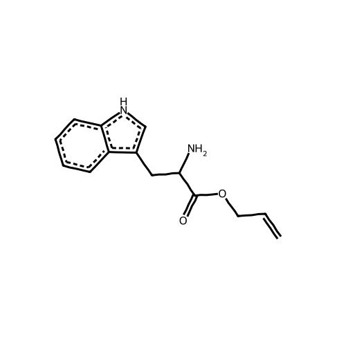 C=CCOC(=O)C(N)Cc1c[nH]c2ccccc12